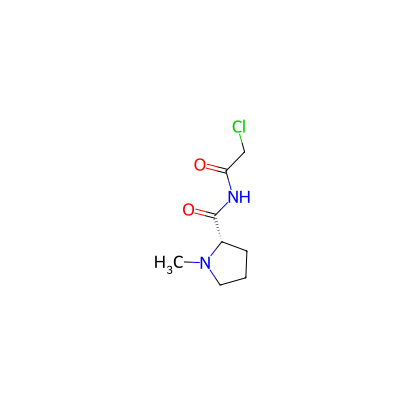 CN1CCC[C@H]1C(=O)NC(=O)CCl